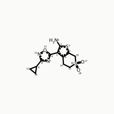 Nc1sc2c(c1-c1nc(C3CC3)no1)CCS(=O)(=O)C2